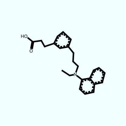 CCN(CCCc1cccc(CCC(=O)O)c1)c1cccc2ccccc12